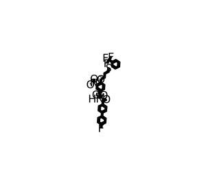 O=C(NS(=O)(=O)c1ccc(OCCCSc2ccccc2C(F)(F)F)c([N+](=O)[O-])c1)c1ccc(-c2ccc(F)cc2)cc1